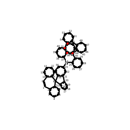 C1=Cc2ccccc2C2(c3ccccc31)c1ccccc1-c1cc(N(c3ccccc3-c3ccccc3)c3cccc4c3Oc3ccccc3-c3ccccc3-4)ccc12